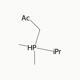 CC(=O)C[PH](C)(C)C(C)C